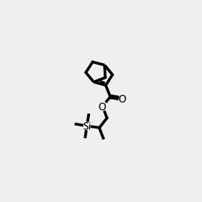 CC(COC(=O)C1=C2CCC(C2)C1)[Si](C)(C)C